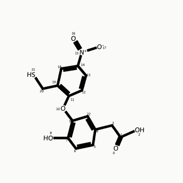 O=C(O)Cc1ccc(O)c(Oc2ccc([N+](=O)[O-])cc2CS)c1